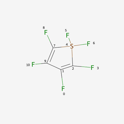 FC1=C(F)S(F)(F)C(F)=C1F